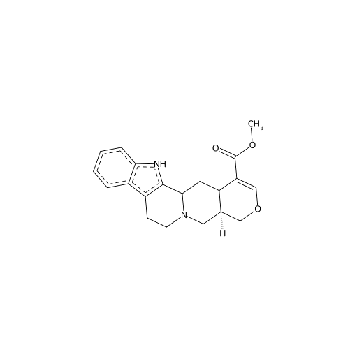 COC(=O)C1=COC[C@H]2CN3CCc4c([nH]c5ccccc45)C3CC12